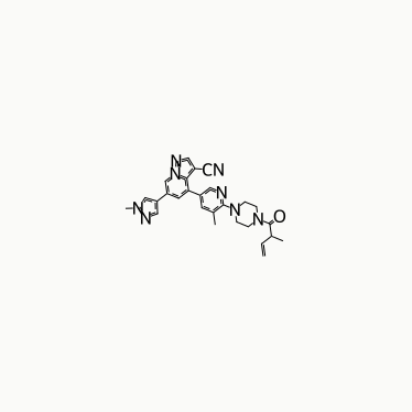 C=CC(C)C(=O)N1CCN(c2ncc(-c3cc(-c4cnn(C)c4)cn4ncc(C#N)c34)cc2C)CC1